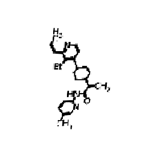 C=C(C(=O)Nc1ccc(C)cn1)C1CCC(c2ccnc(/C=C\C)c2CC)CC1